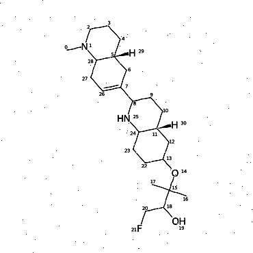 CN1CCC[C@@H]2CC(C3CC[C@@H]4CC(OC(C)(C)C(O)CF)CCC4N3)=CCC21